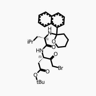 CC(C)C[C@H](NC1(c2cccc3ccccc23)CCCCO1)C(=O)N[C@@H](CC(=O)OC(C)(C)C)C(=O)CBr